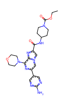 CCOC(=O)N1CCC(NC(=O)c2cn3cc(-c4cnc(N)nc4)nc(N4CCOCC4)c3n2)CC1